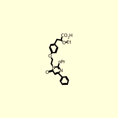 CCCc1nc(-c2ccccc2)cc(=O)n1CCOc1ccc(CC(OCC)C(=O)O)cc1